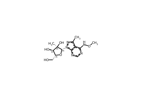 CONc1ncnc2c1c(C)nn2[C@@H]1O[C@H](CO)[C@@H](O)[C@@]1(C)O